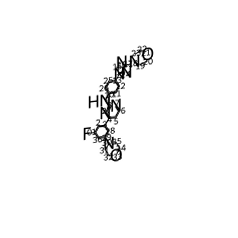 Fc1cc(-c2ccnc(Nc3ccc(-n4cnc(N5CCOCC5)n4)cc3)n2)cc(N2CCOCC2)c1